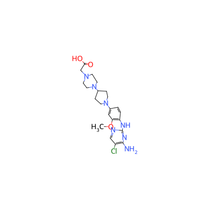 COc1cc(N2CCC(N3CCN(CC(=O)O)CC3)CC2)ccc1Nc1ncc(Cl)c(N)n1